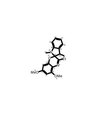 CCC1=Nc2c(OC)cc(OC)cc2OC12C(C)c1ccccc1N2C